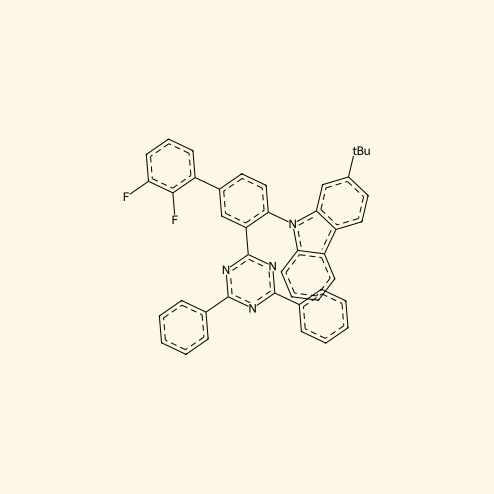 CC(C)(C)c1ccc2c3ccccc3n(-c3ccc(-c4cccc(F)c4F)cc3-c3nc(-c4ccccc4)nc(-c4ccccc4)n3)c2c1